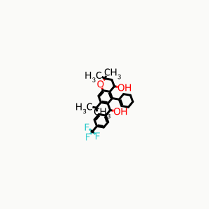 CC(C)c1cc2c(c(C3=CCCCC3)c1C(O)c1ccc(C(F)(F)F)cc1)C(O)CC(C)(C)O2